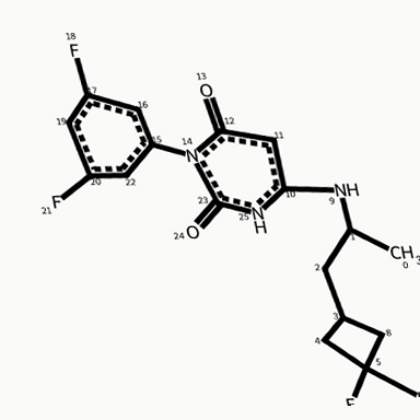 CC(CC1CC(F)(F)C1)Nc1cc(=O)n(-c2cc(F)cc(F)c2)c(=O)[nH]1